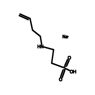 C=CCCNCCS(=O)(=O)O.[Na]